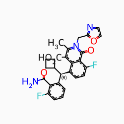 Cc1c(C(=O)O)c2c([C@@H](c3cccc(F)c3C(N)=O)C3CCC3)ccc(F)c2c(=O)n1Cc1ncco1